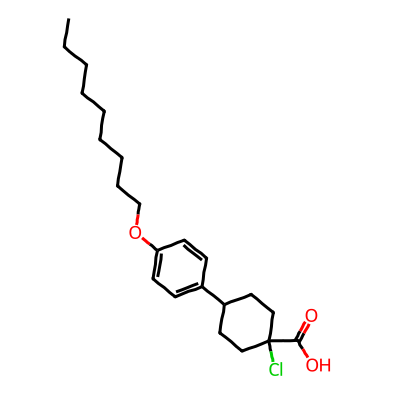 CCCCCCCCCOc1ccc(C2CCC(Cl)(C(=O)O)CC2)cc1